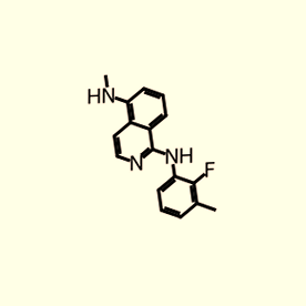 CNc1cccc2c(Nc3cccc(C)c3F)nccc12